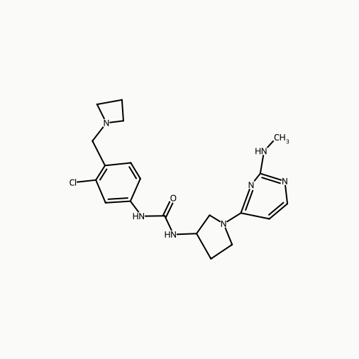 CNc1nccc(N2CCC(NC(=O)Nc3ccc(CN4CCC4)c(Cl)c3)C2)n1